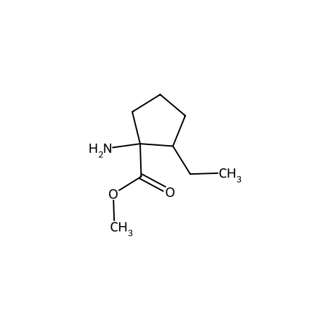 CCC1CCCC1(N)C(=O)OC